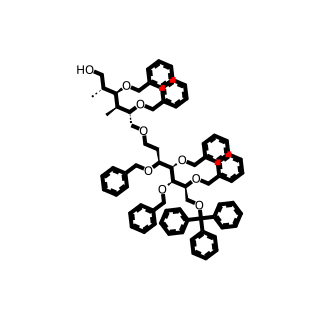 C[C@@H]([C@H](OCc1ccccc1)[C@H](C)CO)[C@@H](COCC[C@H](OCc1ccccc1)[C@H](OCc1ccccc1)[C@@H](OCc1ccccc1)[C@H](COC(c1ccccc1)(c1ccccc1)c1ccccc1)OCc1ccccc1)OCc1ccccc1